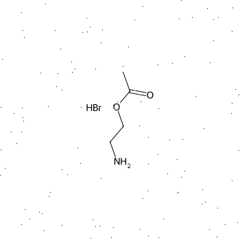 Br.CC(=O)OCCN